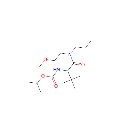 CCCN(CCOC)C(=O)C(NC(=O)OC(C)C)C(C)(C)C